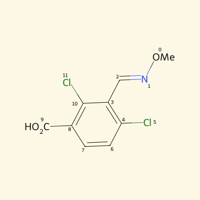 CON=Cc1c(Cl)ccc(C(=O)O)c1Cl